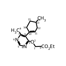 CCOC(=O)COc1ncnc(C)c1C1=CCC(C)CC1